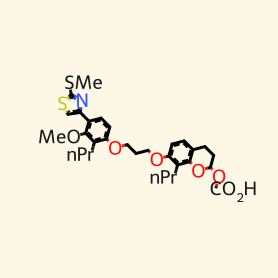 CCCc1c(OCCCOc2ccc(-c3csc(SC)n3)c(OC)c2CCC)ccc2c1OC(OC(=O)O)CC2